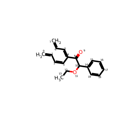 C=C/C=C\C(=C/C=C)C(=O)C(OCC)c1ccccc1